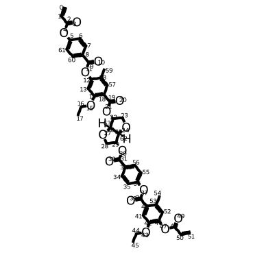 C=CC(=O)Oc1ccc(C(=O)Oc2cc(OCC)c(C(=O)O[C@@H]3CO[C@H]4[C@@H]3OC[C@H]4OC(=O)c3ccc(OC(=O)c4cc(OCC)c(OC(=O)C=C)cc4C)cc3)cc2C)cc1